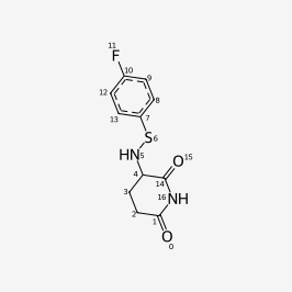 O=C1CCC(NSc2ccc(F)cc2)C(=O)N1